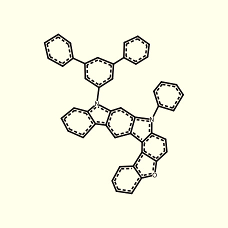 c1ccc(-c2cc(-c3ccccc3)cc(-n3c4ccccc4c4cc5c6c7c(ccc6n(-c6ccccc6)c5cc43)oc3ccccc37)c2)cc1